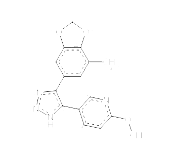 COc1ccc(-c2[nH]nnc2-c2cc(C)c3c(c2)OCO3)cn1